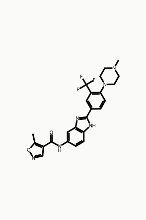 Cc1oncc1C(=O)Nc1ccc2[nH]c(-c3ccc(N4CCN(C)CC4)c(C(F)(F)F)c3)nc2c1